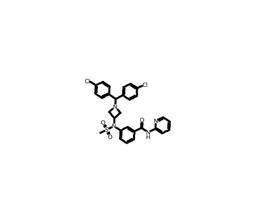 CS(=O)(=O)N(c1cccc(C(=O)Nc2ccccn2)c1)C1CN(C(c2ccc(Cl)cc2)c2ccc(Cl)cc2)C1